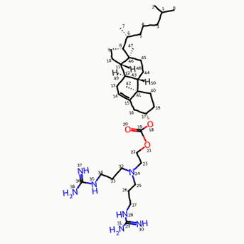 CC(C)CCC[C@@H](C)[C@H]1CC[C@H]2[C@@H]3CC=C4C[C@@H](OC(=O)OCCN(CCCNC(=N)N)CCCNC(=N)N)CC[C@]4(C)[C@H]3CC[C@]12C